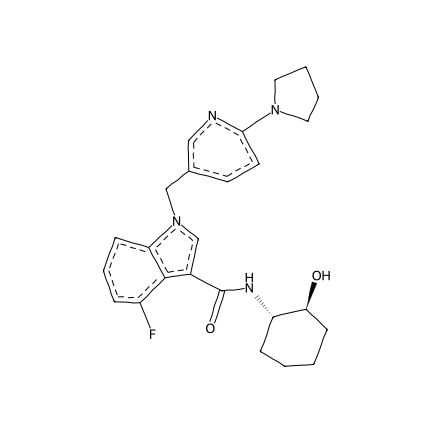 O=C(N[C@H]1CCCC[C@@H]1O)c1cn(Cc2ccc(N3CCCC3)nc2)c2cccc(F)c12